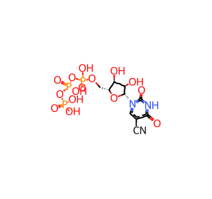 N#Cc1cn([C@@H]2O[C@H](COP(=O)(O)OP(=O)(O)OP(=O)(O)O)[C@@H](O)[C@H]2O)c(=O)[nH]c1=O